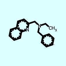 CCN(Cc1cc[c]cc1)Cc1ccc2ccccc2n1